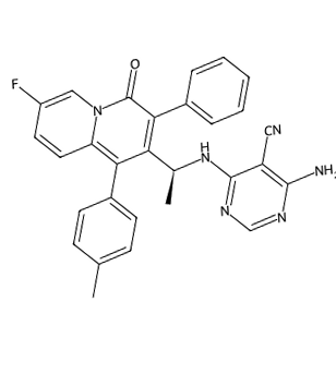 Cc1ccc(-c2c([C@H](C)Nc3ncnc(N)c3C#N)c(-c3ccccc3)c(=O)n3cc(F)ccc23)cc1